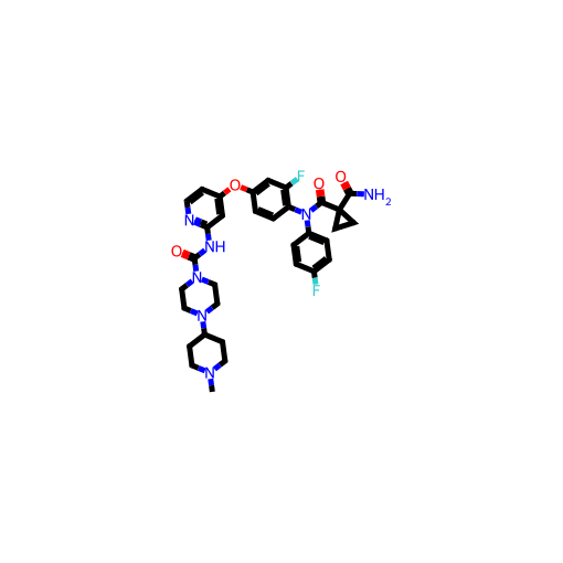 CN1CCC(N2CCN(C(=O)Nc3cc(Oc4ccc(N(C(=O)C5(C(N)=O)CC5)c5ccc(F)cc5)c(F)c4)ccn3)CC2)CC1